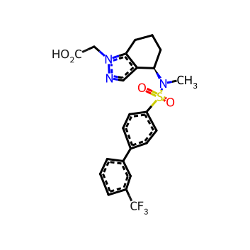 CN([C@@H]1CCCc2c1cnn2CC(=O)O)S(=O)(=O)c1ccc(-c2cccc(C(F)(F)F)c2)cc1